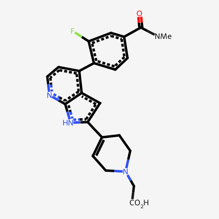 CNC(=O)c1ccc(-c2ccnc3[nH]c(C4=CCN(CC(=O)O)CC4)cc23)c(F)c1